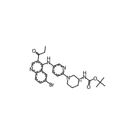 CCC(=O)c1cnc2ccc(Br)cc2c1Nc1ccc(N2CCC[C@H](NC(=O)OC(C)(C)C)C2)nc1